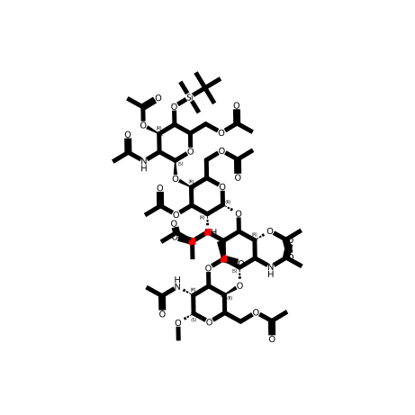 CO[C@H]1OC(COC(C)=O)[C@H](O[C@@H]2OC(COC(C)=O)C(O[C@H]3OC(COC(C)=O)[C@H](O[C@@H]4OC(COC(C)=O)C(O[Si](C)(C)C(C)(C)C)[C@H](OC(C)=O)C4NC(C)=O)C(OC(C)=O)[C@H]3NC(C)=O)[C@H](OC(C)=O)C2NC(C)=O)C(OC(C)=O)[C@H]1NC(C)=O